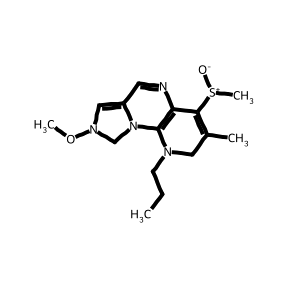 CCCN1CC(C)=C([S+](C)[O-])C2=C1N1CN(OC)C=C1C=N2